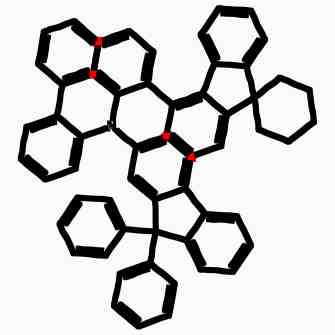 c1ccc(-c2ccccc2N(c2ccc3c(c2)C(c2ccccc2)(c2ccccc2)c2ccccc2-3)c2ccccc2-c2cccc3c2-c2ccccc2C32CCCCC2)cc1